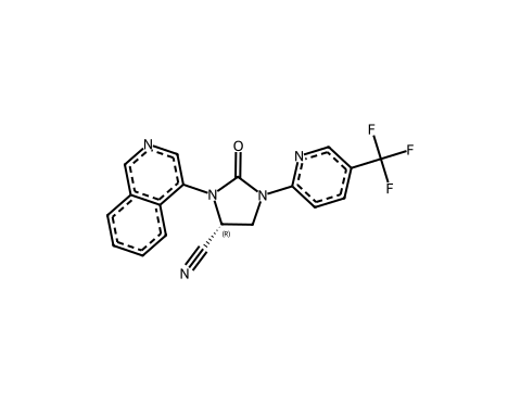 N#C[C@H]1CN(c2ccc(C(F)(F)F)cn2)C(=O)N1c1cncc2ccccc12